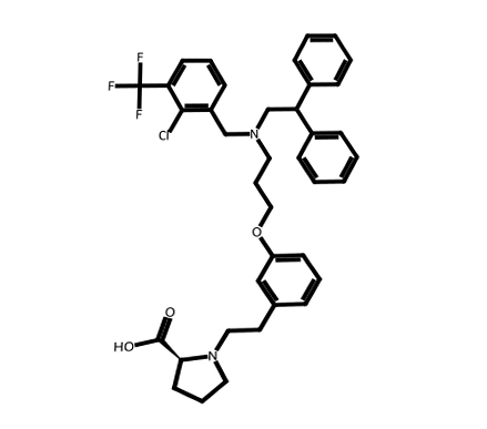 O=C(O)[C@@H]1CCCN1CCc1cccc(OCCCN(Cc2cccc(C(F)(F)F)c2Cl)CC(c2ccccc2)c2ccccc2)c1